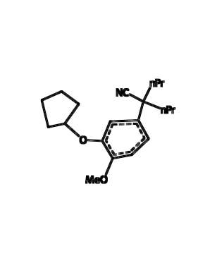 CCCC(C#N)(CCC)c1ccc(OC)c(OC2CCCC2)c1